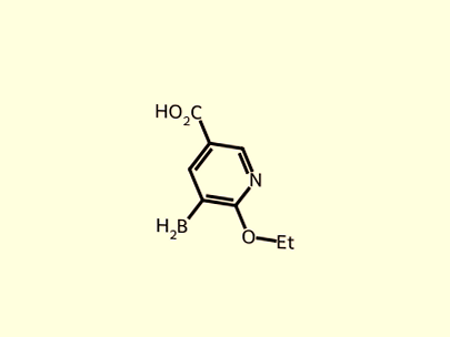 Bc1cc(C(=O)O)cnc1OCC